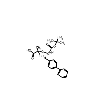 CC(C)(C)OC(=O)N[C@H](Cc1ccc(-c2ccccc2)cc1)CC(C)(C)C(=O)O